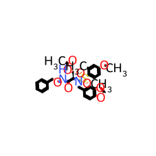 COc1cc(C)c(S(=O)(=O)N(Cc2ccc3c(c2)OCO3)[C@H](COC(C)=O)C(=O)NOCc2ccccc2)c(C)c1